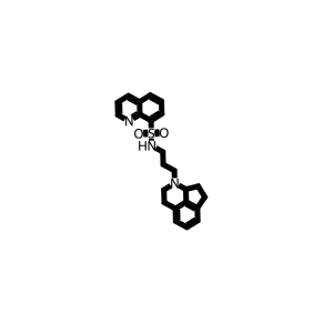 O=S(=O)(NCCCN1CCc2cccc3c2C1CC3)c1cccc2cccnc12